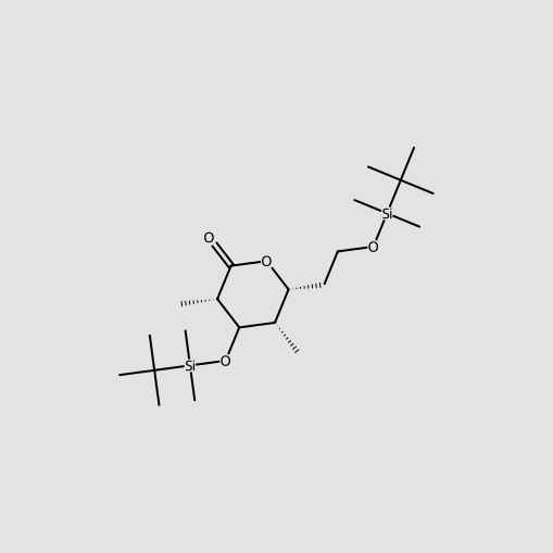 C[C@@H]1C(=O)O[C@H](CCO[Si](C)(C)C(C)(C)C)[C@H](C)C1O[Si](C)(C)C(C)(C)C